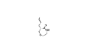 CC=CCC1COCCNC1=O